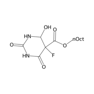 CCCCCCCCOC(=O)C1(F)C(=O)NC(=O)NC1O